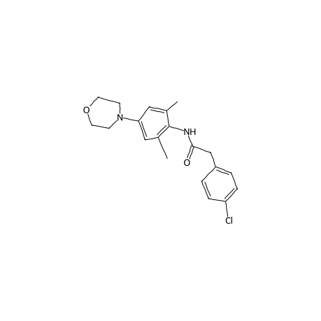 Cc1cc(N2CCOCC2)cc(C)c1NC(=O)Cc1ccc(Cl)cc1